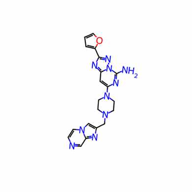 Nc1nc(N2CCN(Cc3cn4ccncc4n3)CC2)cc2nc(-c3ccco3)nn12